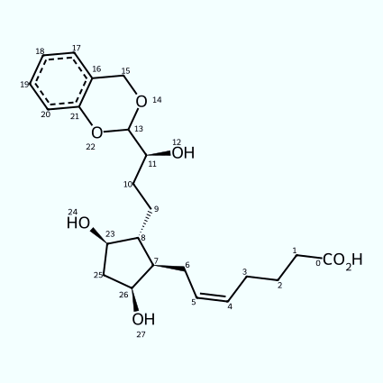 O=C(O)CCC/C=C\C[C@@H]1[C@@H](CC[C@H](O)C2OCc3ccccc3O2)[C@H](O)C[C@@H]1O